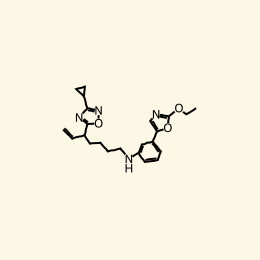 C=CC(CCCCNc1cccc(-c2cnc(OCC)o2)c1)c1nc(C2CC2)no1